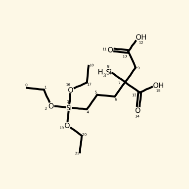 CCO[Si](CCCC([SiH3])(CC(=O)O)C(=O)O)(OCC)OCC